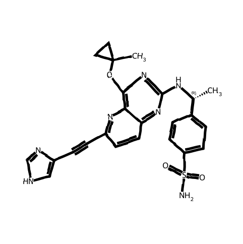 C[C@@H](Nc1nc(OC2(C)CC2)c2nc(C#Cc3c[nH]cn3)ccc2n1)c1ccc(S(N)(=O)=O)cc1